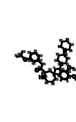 COc1ccc(C2(CCN3CCC(N4CCCCC4)CC3)CCCNC(C(=O)Cc3cccc(OC(C)C)c3)C2)cc1OC